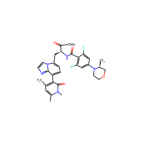 COC(=O)[C@H](Cc1ccc(-c2c(C(F)(F)F)cc(C)n(C)c2=O)c2nccn12)NC(=O)c1c(F)cc(N2CCOC[C@@H]2C(F)(F)F)cc1F